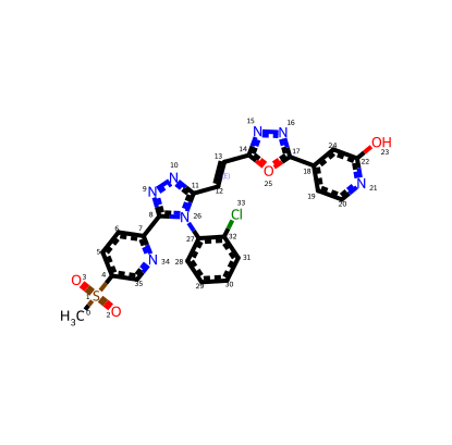 CS(=O)(=O)c1ccc(-c2nnc(/C=C/c3nnc(-c4ccnc(O)c4)o3)n2-c2ccccc2Cl)nc1